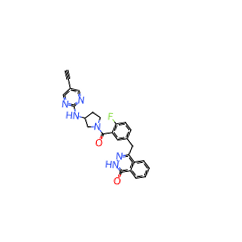 C#Cc1cnc(NC2CCN(C(=O)c3cc(Cc4n[nH]c(=O)c5ccccc45)ccc3F)C2)nc1